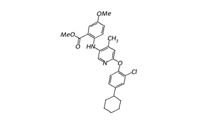 COC(=O)c1cc(OC)ccc1Nc1cnc(Oc2ccc(C3CCCCC3)cc2Cl)cc1C